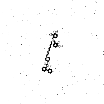 O=C(Nc1ccccc1-c1ccccc1)OC1CCN(CCCCCCCCCN(Cc2cccc(O)c2Cl)Cc2cccc(O)c2Cl)CC1